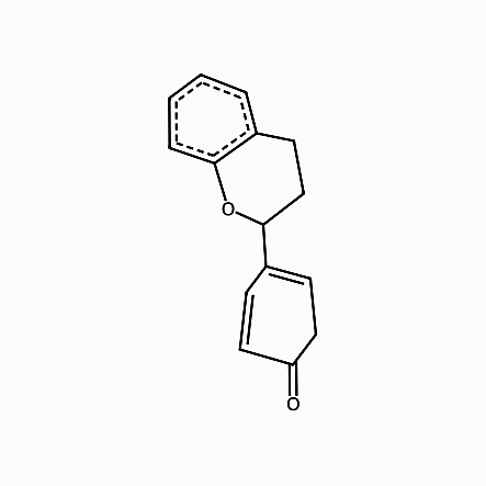 O=C1C=CC(C2CCc3ccccc3O2)=CC1